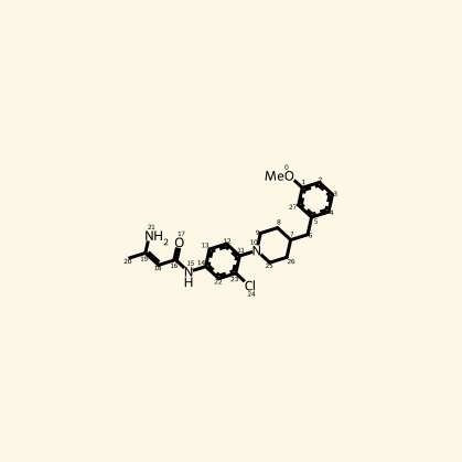 COc1cccc(CC2CCN(c3ccc(NC(=O)C=C(C)N)cc3Cl)CC2)c1